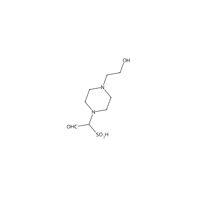 O=CC(N1CCN(CCO)CC1)S(=O)(=O)O